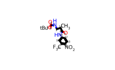 CC(CNC(=O)OC(C)(C)C)C(=O)Nc1ccc([N+](=O)[O-])c(C(F)(F)F)c1